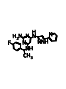 CC(Nc1cc(Nc2cc(-c3ccccn3)[nH]n2)nc(N)n1)c1ccc(F)cc1